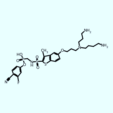 Cc1c(S(=O)(=O)NCP(=O)(O)Oc2ccc(C#N)c(F)c2)sc2ccc(OCCCN(CCCN)CCCCN)cc12